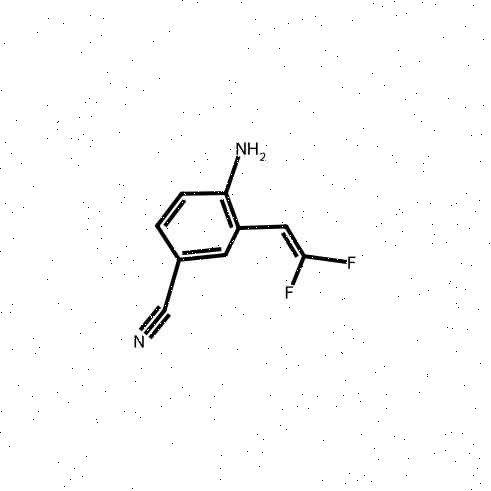 N#Cc1ccc(N)c(C=C(F)F)c1